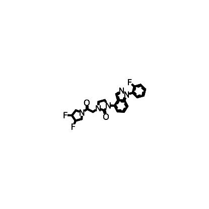 O=C(CN1CCN(c2cccc3c2cnn3-c2ccccc2F)C1=O)N1CC(F)C(F)C1